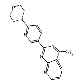 Cc1cc(-c2ccc(N3CCOCC3)nc2)nc2ncccc12